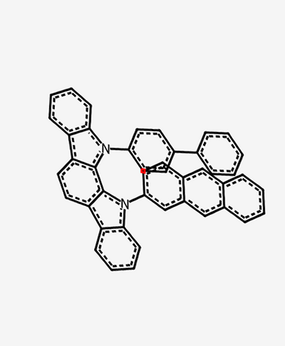 c1ccc(-c2ccc(-n3c4ccccc4c4ccc5c6ccccc6n(-c6ccc7cc8ccccc8cc7c6)c5c43)cc2)cc1